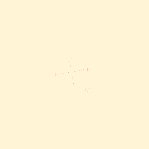 CCC[Si](O)(O)CNC